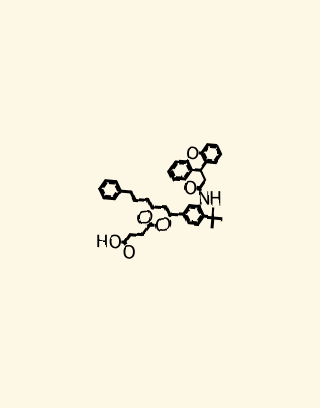 CC(C)(C)c1ccc(C(CCCCCc2ccccc2)OC(=O)CCC(=O)O)cc1NC(=O)CC1c2ccccc2Oc2ccccc21